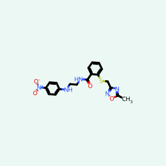 Cc1nc(CSc2ccccc2C(=O)NCCNc2ccc([N+](=O)[O-])cc2)no1